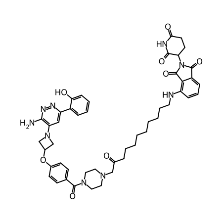 Nc1nnc(-c2ccccc2O)cc1N1CC(Oc2ccc(C(=O)N3CCN(CC(=O)CCCCCCCCCNc4cccc5c4C(=O)N(C4CCC(=O)NC4=O)C5=O)CC3)cc2)C1